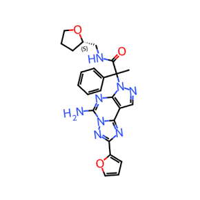 CC(C(=O)NC[C@@H]1CCCO1)(c1ccccc1)n1ncc2c1nc(N)n1nc(-c3ccco3)nc21